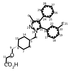 Cc1nn(C[C@H]2CC[C@H](COCC(=O)O)CC2)c(-c2cccc(F)c2)c1-c1ccccc1